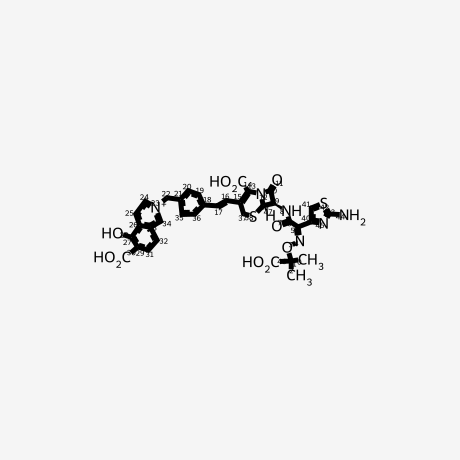 CC(C)(O/N=C(\C(=O)N[C@@H]1C(=O)N2C(C(=O)O)=C(/C=C/c3ccc(C[n+]4ccc5c(O)c(C(=O)O)ccc5c4)cc3)CS[C@H]12)c1csc(N)n1)C(=O)O